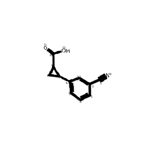 N#Cc1cccc(C2CC2C(=O)O)c1